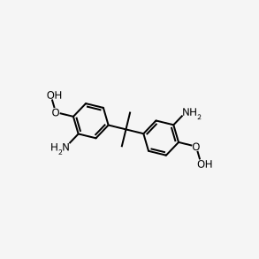 CC(C)(c1ccc(OO)c(N)c1)c1ccc(OO)c(N)c1